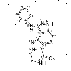 O=C1NCCn2nc3c(ccc4[nH]nc(Nc5ccccc5)c43)c21